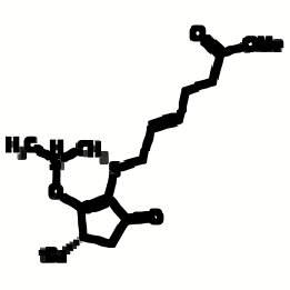 COC(=O)CCC=CCSC1=C(O[SiH](C)C)[C@@H](C(C)(C)C)CC1=O